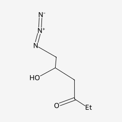 CCC(=O)CC(O)CN=[N+]=[N-]